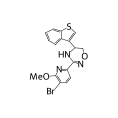 COc1nc(C2=NOCC(c3csc4ccccc34)N2)ccc1Br